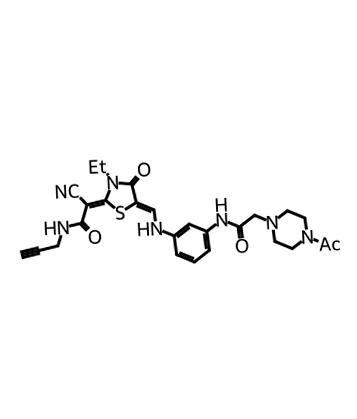 C#CCNC(=O)C(C#N)=c1sc(=CNc2cccc(NC(=O)CN3CCN(C(C)=O)CC3)c2)c(=O)n1CC